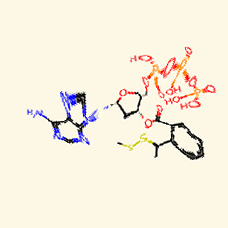 CSSC(C)c1ccccc1C(=O)O[C@@H]1C[C@H](n2cnc3c(N)ncnc32)O[C@@H]1COP(=O)(O)OP(=O)(O)OP(=O)(O)O